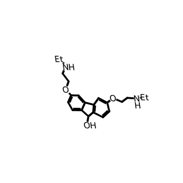 CCNCCOc1ccc2c(c1)-c1cc(OCCNCC)ccc1C2O